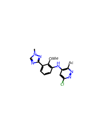 COc1c(Nc2cc(Cl)nnc2C(C)=O)cccc1-c1ncn(C)n1